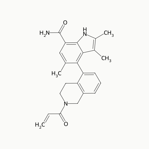 C=CC(=O)N1CCc2c(cccc2-c2c(C)cc(C(N)=O)c3[nH]c(C)c(C)c23)C1